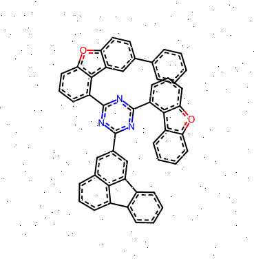 c1ccc(-c2ccc3oc4cccc(-c5nc(-c6cc7c8c(cccc8c6)-c6ccccc6-7)nc(-c6cccc7oc8ccccc8c67)n5)c4c3c2)cc1